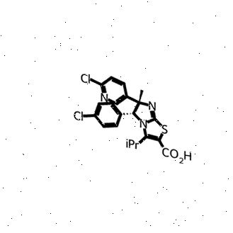 CC(C)C1=C(C(=O)O)SC2=N[C@@](C)(c3ccc(Cl)nc3)[C@@H](c3ccc(Cl)cc3)N21